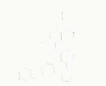 C=CC(=O)Nc1cc(Nc2cc(N3OCC[C@@H]3c3cc(F)cc(Oc4cccc(F)c4)c3)ncn2)c(OC)cc1N(C)CCN(C)C